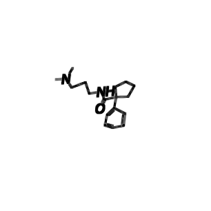 CN(C)CCCNC(=O)C1(c2ccccc2)CCCC1